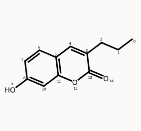 CCCc1cc2ccc(O)cc2oc1=O